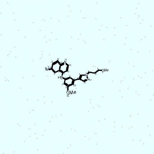 COCCCn1cc(-c2cc(Nc3ccnc4ccc(Br)cc34)cc(OC)c2)cn1